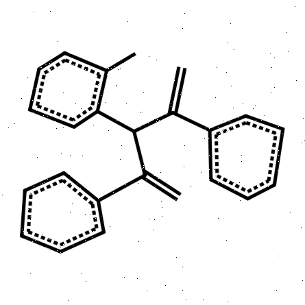 C=C(c1ccccc1)C(C(=C)c1ccccc1)c1ccccc1C